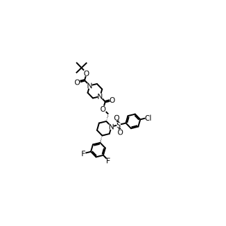 CC(C)(C)OC(=O)N1CCN(C(=O)OC[C@H]2CC[C@@H](c3cc(F)cc(F)c3)CN2S(=O)(=O)c2ccc(Cl)cc2)CC1